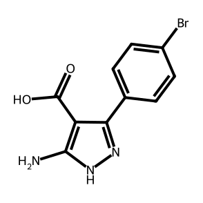 Nc1[nH]nc(-c2ccc(Br)cc2)c1C(=O)O